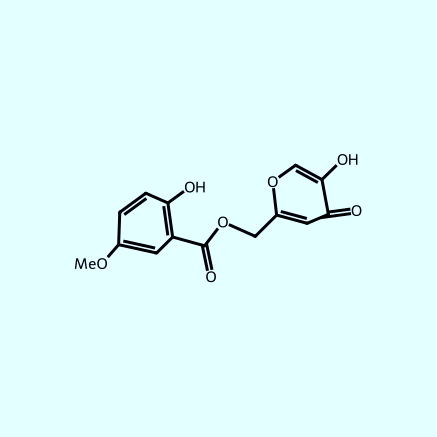 COc1ccc(O)c(C(=O)OCc2cc(=O)c(O)co2)c1